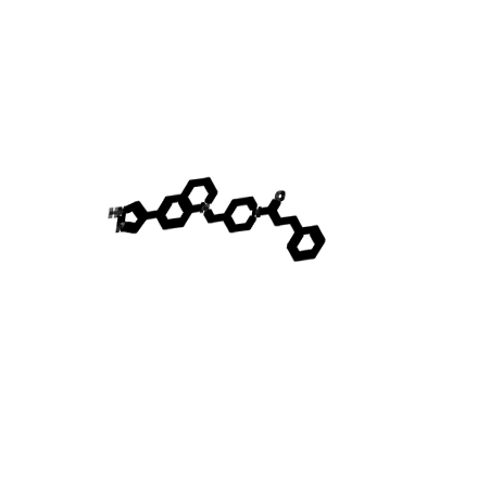 O=C(CCc1ccccc1)N1CCC(CN2CCCc3cc(-c4cn[nH]c4)ccc32)CC1